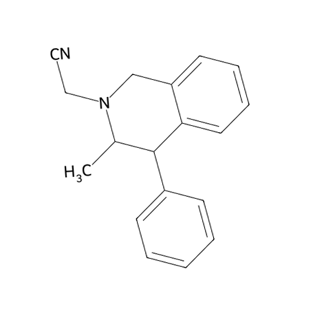 CC1C(c2ccccc2)c2ccccc2CN1CC#N